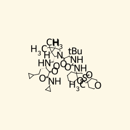 CC(C)(C)[C@H](NC(=O)NC1(CS(=O)(=O)C2(C)CCOCC2)CCCCC1)C(=O)N1C[C@H]2[C@@H]([C@H]1C(=O)N[C@@H](CCC1CC1)C(=O)C(=O)NC1CC1)C2(C)C